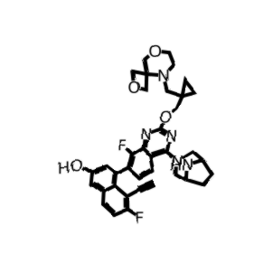 C#Cc1c(F)ccc2cc(O)cc(-c3ccc4c(N5CC6CCC(C5)N6)nc(OCC5(CN6CCOCC67COC7)CC5)nc4c3F)c12